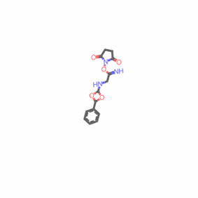 N=C(CNC1OC(c2ccccc2)O1)ON1C(=O)CCC1=O